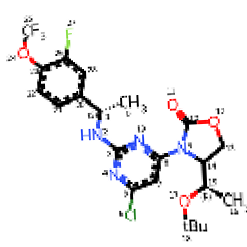 C[C@H](Nc1nc(Cl)cc(N2C(=O)OCC2[C@@H](C)OC(C)(C)C)n1)c1ccc(OC(F)(F)F)c(F)c1